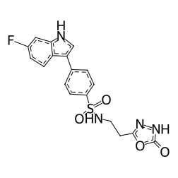 O=c1[nH]nc(CCNS(=O)(=O)c2ccc(-c3c[nH]c4cc(F)ccc34)cc2)o1